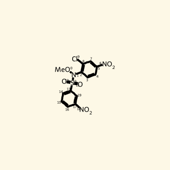 CON(c1ccc([N+](=O)[O-])cc1Cl)S(=O)(=O)c1cccc([N+](=O)[O-])c1